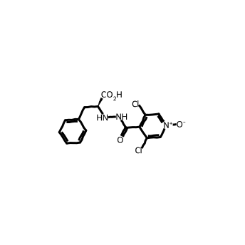 O=C(NN[C@@H](Cc1ccccc1)C(=O)O)c1c(Cl)c[n+]([O-])cc1Cl